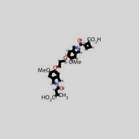 COc1cc2c(cc1OCCCOc1cc3c(cc1OC)CN(C(=O)[C@@H]1CC[C@H]1C(=O)O)C3)CN(C(=O)CC(C)C(=O)O)C2